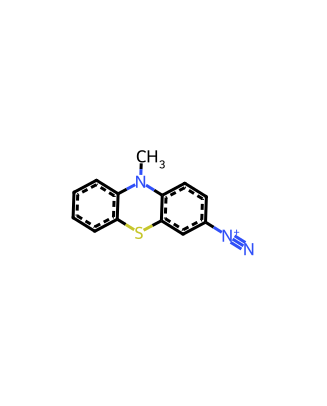 CN1c2ccccc2Sc2cc([N+]#N)ccc21